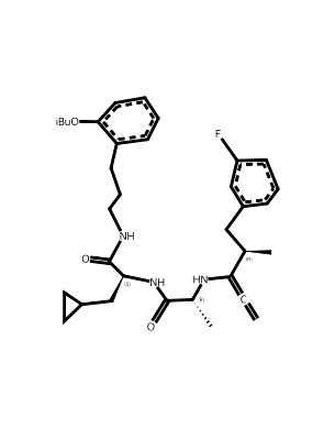 C=C=C(N[C@H](C)C(=O)N[C@@H](CC1CC1)C(=O)NCCCc1ccccc1OCC(C)C)[C@H](C)Cc1cccc(F)c1